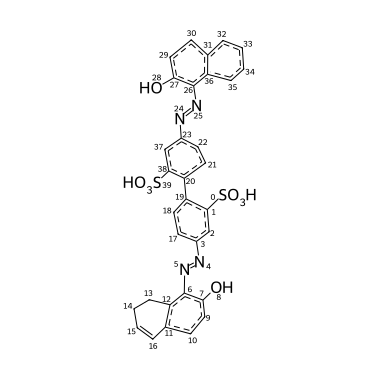 O=S(=O)(O)c1cc(/N=N/c2c(O)ccc3c2CCC=C3)ccc1-c1ccc(/N=N/c2c(O)ccc3ccccc23)cc1S(=O)(=O)O